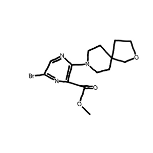 COC(=O)c1nc(Br)cnc1N1CCC2(CCOC2)CC1